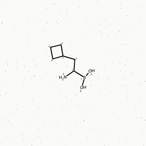 NC(CC1CCC1)B(O)O